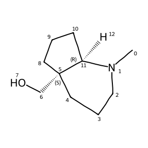 CN1CCC[C@@]2(CO)CCC[C@@H]12